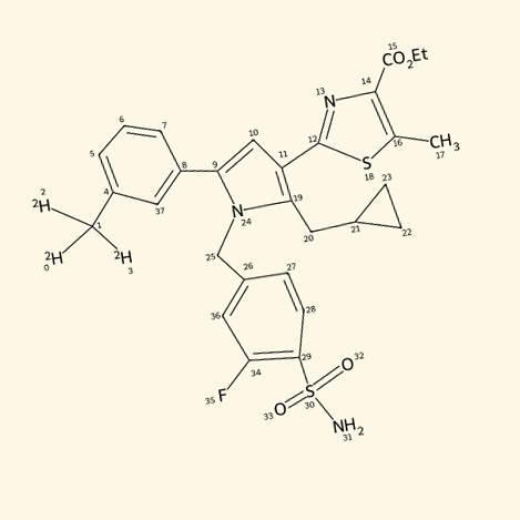 [2H]C([2H])([2H])c1cccc(-c2cc(-c3nc(C(=O)OCC)c(C)s3)c(CC3CC3)n2Cc2ccc(S(N)(=O)=O)c(F)c2)c1